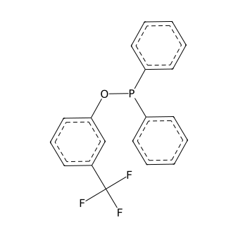 FC(F)(F)c1cccc(OP(c2ccccc2)c2ccccc2)c1